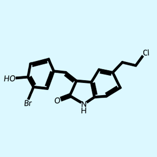 O=C1Nc2ccc(CCCl)cc2C1=Cc1ccc(O)c(Br)c1